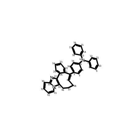 C1=C(\c2ccc(N(c3ccccc3)c3ccccc3)cc2)c2ccccc2-c2nc3ccccn3c2CCC/1